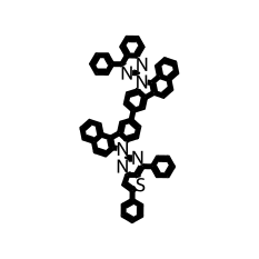 c1ccc(-c2cc3nc(-n4c5ccc(-c6ccc7c(c6)c6ccc8ccccc8c6n7-c6nc(-c7ccccc7)c7ccccc7n6)cc5c5c6ccccc6ccc54)nc(-c4ccccc4)c3s2)cc1